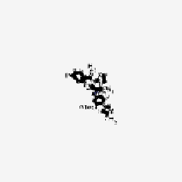 COc1cc(/C=C2/C(=O)N(C(C)c3ccc(F)cc3)c3nccn3C2(C)C)ccc1-n1cnc(C)c1